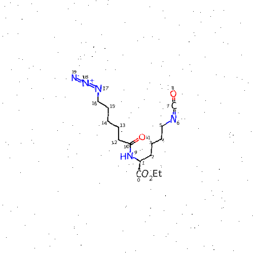 CCOC(=O)[C@H](CCCCN=C=O)NC(=O)CCCCCN=[N+]=[N-]